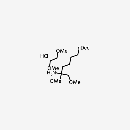 CCCCCCCCCCCCCCC(N)(COC)OC.COCCOC.Cl